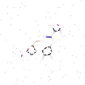 Nc1nonc1/C(=N/OCc1ccc([N+](=O)[O-])o1)Nc1ccc(F)c(Br)c1